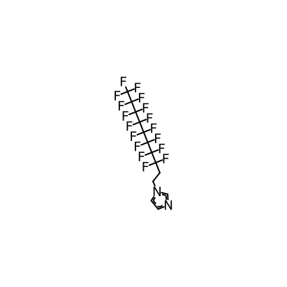 FC(F)(F)C(F)(F)C(F)(F)C(F)(F)C(F)(F)C(F)(F)C(F)(F)C(F)(F)CCn1ccnc1